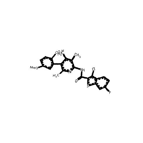 COc1ccc(C(=O)O)c(-c2c(C)nc(NC(=O)c3sc4cc(F)ccc4c3Cl)c(C)c2C)c1